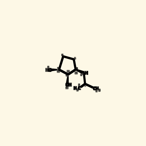 CC(C)N[C@@H]1CC[C@@H](O)[C@H]1O